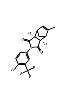 CC1=CC2CC1[C@H]1C(=O)N(c3ccc(Br)c(C(F)(F)F)c3)C(=O)[C@@H]21